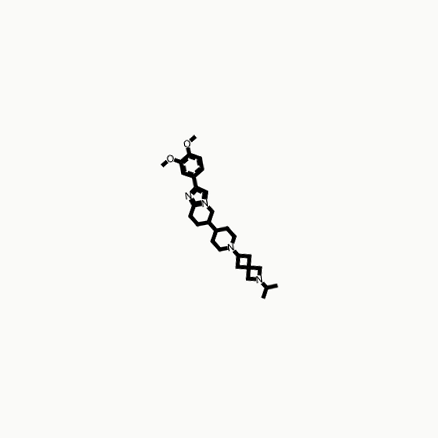 COc1ccc(-c2cn3c(n2)CCC(C2CCN(C4CC5(C4)CN(C(C)C)C5)CC2)C3)cc1OC